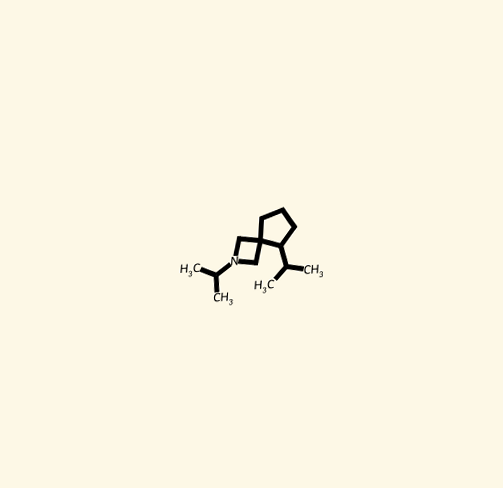 CC(C)C1CCCC12CN(C(C)C)C2